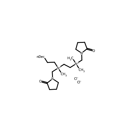 CCCCCCCCCCCC[N+](C)(CC[N+](C)(C)CN1CCCC1=O)CN1CCCC1=O.[Cl-].[Cl-]